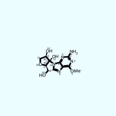 COc1nc(N)nc2c1ncn2[C@@]1(O)[C@H](O)CO[C@@H]1CO